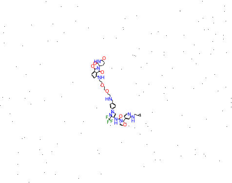 O=C1CCC(N2C(=O)c3cccc(NCCOCCOCCNCc4ccc(-n5cc(NC(=O)N6C=COC6c6ccnc(NCC7CC7)c6)c(C(F)(F)F)n5)cc4)c3C2=O)C(=O)N1